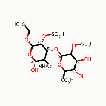 CC(=O)NC1[C@H](O)OC(OCS(=O)(=O)O)[C@H](OS(=O)(=O)O)[C@@H]1O[C@@H]1OC(C(=O)O)[C@@H](O)[C@H](O)C1OS(=O)(=O)O